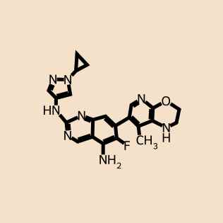 Cc1c(-c2cc3nc(Nc4cnn(C5CC5)c4)ncc3c(N)c2F)cnc2c1NCCO2